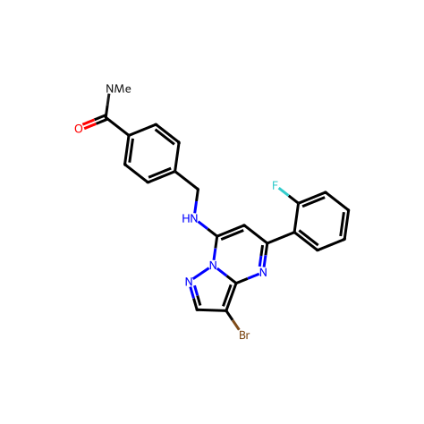 CNC(=O)c1ccc(CNc2cc(-c3ccccc3F)nc3c(Br)cnn23)cc1